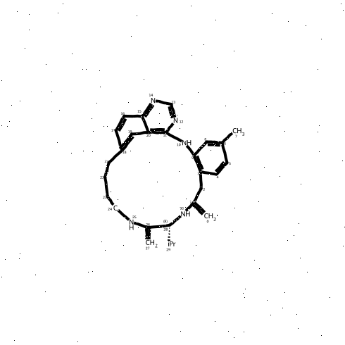 C=C1Cc2ccc(C)cc2Nc2ncnc3ccc(cc23)CCCCNC(=C)[C@@H](C(C)C)N1